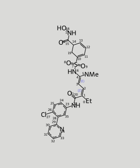 CC/C(=C/C=C(\NC)NS(=O)(=O)C1=CC=CC(C(=O)NO)C1)C(=O)Nc1ccc(Cl)c(-c2ccccn2)c1